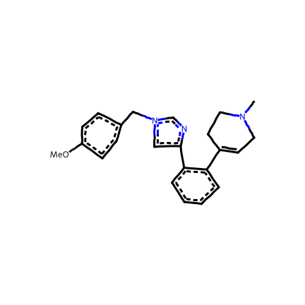 COc1ccc(Cn2cnc(-c3ccccc3C3=CCN(C)CC3)c2)cc1